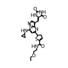 CCOCCNC(=O)C1=CCC(c2cc(NC3CC3)n3ncc(/C=C4\NC(=O)NC4=O)c3n2)S1